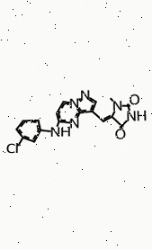 CN1C(=O)NC(=O)/C1=C/c1cnn2ccc(Nc3cccc(Cl)c3)nc12